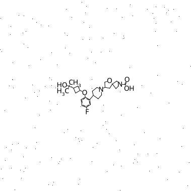 CC(C)(O)C1CC(Oc2ccc(F)cc2C2CCN(C3COC4(C3)CN(C(=O)O)C4)CC2)C1